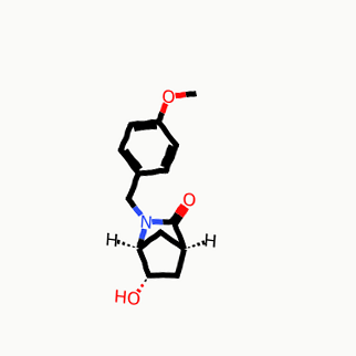 COc1ccc(CN2C(=O)[C@H]3C[C@H](O)[C@@H]2C3)cc1